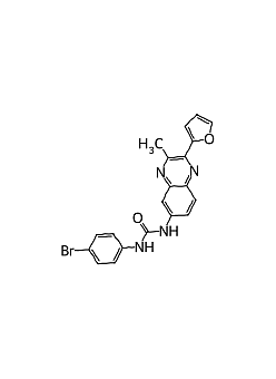 Cc1nc2cc(NC(=O)Nc3ccc(Br)cc3)ccc2nc1-c1ccco1